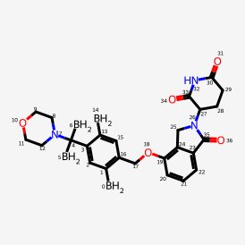 Bc1cc(C(B)(B)N2CCOCC2)c(B)cc1COc1cccc2c1CN(C1CCC(=O)NC1=O)C2=O